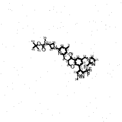 Cc1cc(C[C@@H]2COc3c(cc(Cn4ccnc4C)cc3-c3cn(C)nc3C(F)(F)F)C2=O)nc(N2CC(N(C)C(=O)OC(C)(C)C)C2)c1